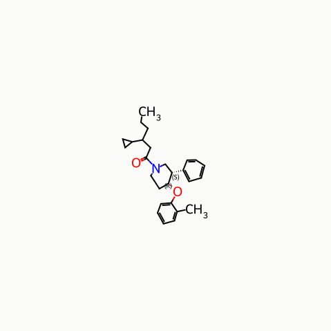 CCCC(CC(=O)N1CC[C@@H](Oc2ccccc2C)[C@@H](c2ccccc2)C1)C1CC1